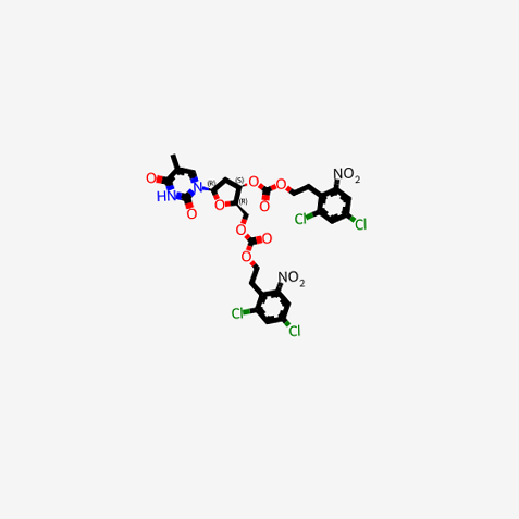 Cc1cn([C@H]2C[C@H](OC(=O)OCCc3c(Cl)cc(Cl)cc3[N+](=O)[O-])[C@@H](COC(=O)OCCc3c(Cl)cc(Cl)cc3[N+](=O)[O-])O2)c(=O)[nH]c1=O